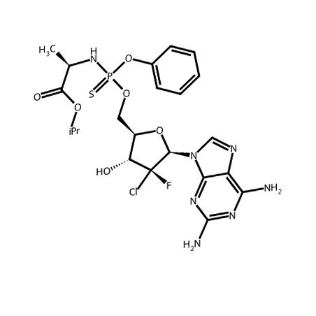 CC(C)OC(=O)[C@@H](C)NP(=S)(OC[C@H]1O[C@@H](n2cnc3c(N)nc(N)nc32)[C@](F)(Cl)[C@@H]1O)Oc1ccccc1